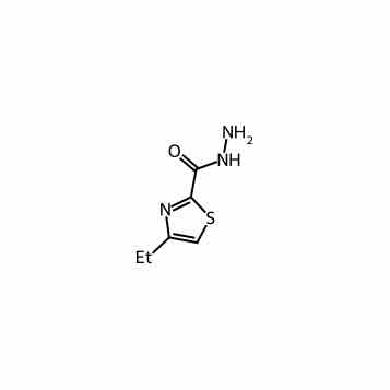 CCc1csc(C(=O)NN)n1